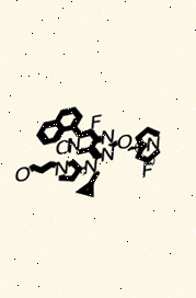 O=CC=CN1CC[C@@H](N(CC2CC2)c2nc(OC[C@@]34CCCN3C[C@H](F)C4)nc3c(F)c(-c4cccc5cccc(Cl)c45)ncc23)C1